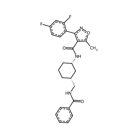 Cc1onc(-c2ccc(F)cc2F)c1C(=O)N[C@H]1CCC[C@@H](CNC(=O)c2ccccc2)C1